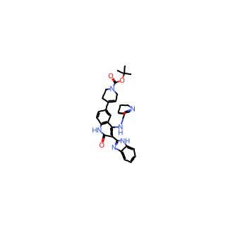 CC(C)(C)OC(=O)N1CC=C(c2ccc3[nH]c(=O)c(-c4nc5ccccc5[nH]4)c(NC4CN5CCC4CC5)c3c2)CC1